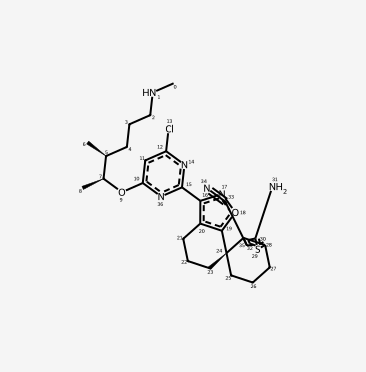 CNCCC[C@H](C)[C@H](C)Oc1cc(Cl)nc(-c2noc3c2CCC[C@@]32CCCc3sc(N)c(C#N)c32)n1